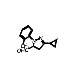 O=CC1CC(C2CC2)=NN1c1ccccc1C(F)(F)F